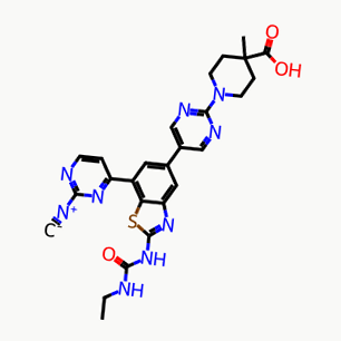 [C-]#[N+]c1nccc(-c2cc(-c3cnc(N4CCC(C)(C(=O)O)CC4)nc3)cc3nc(NC(=O)NCC)sc23)n1